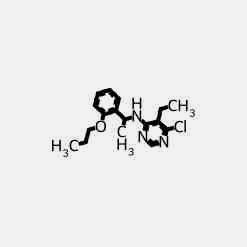 CCCOc1ccccc1C(C)Nc1ncnc(Cl)c1CC